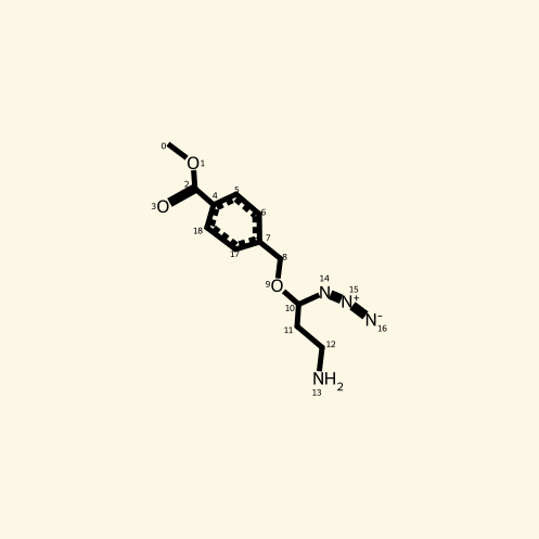 COC(=O)c1ccc(COC(CCN)N=[N+]=[N-])cc1